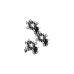 O=S(=O)([O-])c1ccc2c3nc4nc(nc5[nH]c(nc6nc(nc([nH]3)c2c1S(=O)(=O)[O-])-c1ccccc1-6)c1ccccc51)-c1ccccc1-4.O=S(=O)([O-])c1ccc2c3nc4nc(nc5[nH]c(nc6nc(nc([nH]3)c2c1S(=O)(=O)[O-])-c1ccccc1-6)c1ccccc51)-c1ccccc1-4.O=S(=O)([O-])c1ccc2c3nc4nc(nc5[nH]c(nc6nc(nc([nH]3)c2c1S(=O)(=O)[O-])-c1ccccc1-6)c1ccccc51)-c1ccccc1-4.[V+3].[V+3]